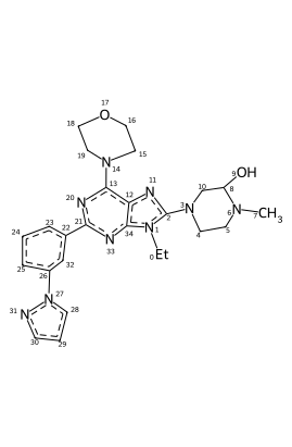 CCn1c(N2CCN(C)C(O)C2)nc2c(N3CCOCC3)nc(-c3cccc(-n4cccn4)c3)nc21